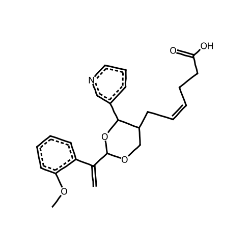 C=C(c1ccccc1OC)C1OCC(C/C=C\CCC(=O)O)C(c2cccnc2)O1